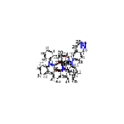 c1ccc(N(c2ccc(-c3ccccc3N(c3ccccc3)c3ccc4cnccc4c3)cc2)c2ccccc2-c2ccc3c4ccccc4n(-c4ccccc4)c3c2)cc1